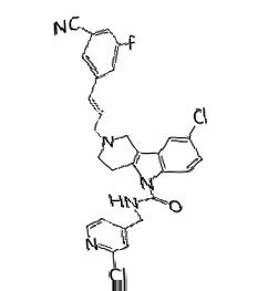 N#Cc1cc(F)cc(C=CCN2CCc3c(c4cc(Cl)ccc4n3C(=O)NCc3ccnc(Cl)c3)C2)c1